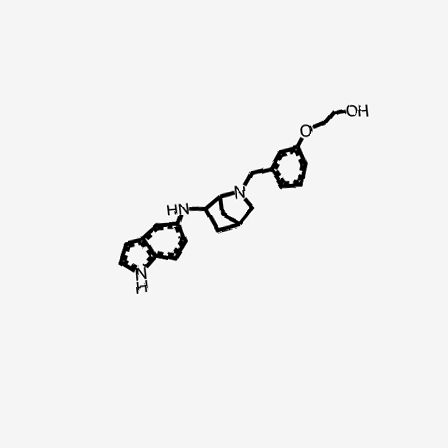 OCCOc1cccc(CN2CC3CC(Nc4ccc5[nH]ccc5c4)C2C3)c1